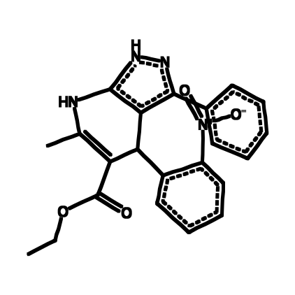 CCOC(=O)C1=C(C)Nc2[nH]nc(-c3ccccc3)c2C1c1ccccc1[N+](=O)[O-]